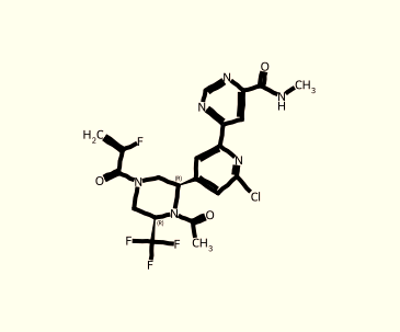 C=C(F)C(=O)N1C[C@@H](c2cc(Cl)nc(-c3cc(C(=O)NC)ncn3)c2)N(C(C)=O)[C@@H](C(F)(F)F)C1